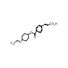 O=C(O)/C=C/c1ccc(C(=O)OC2CCC(OCC(F)(F)F)CC2)cc1